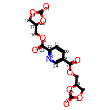 O=C1OCC(COC(=O)c2ccc(C(=O)OCC3COC(=O)O3)nc2)O1